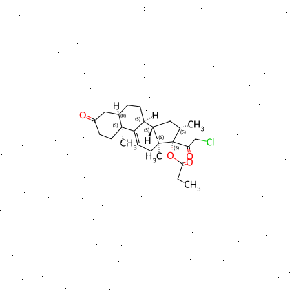 CCC(=O)O[C@@]1(C(=O)CCl)[C@@H](C)C[C@H]2[C@@H]3CC[C@@H]4CC(=O)CC[C@]4(C)C3=CC[C@@]21C